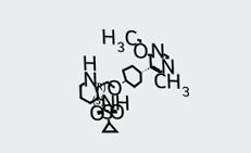 CCOc1ncnc(C)c1[C@H]1CC[C@@H](OC[C@@H]2NCCC[C@@H]2NS(=O)(=O)C2CC2)CC1